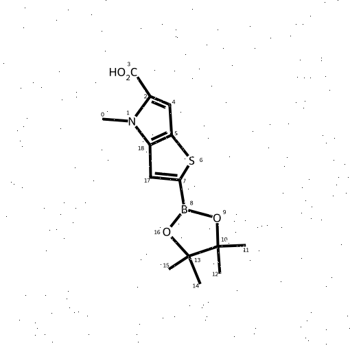 Cn1c(C(=O)O)cc2sc(B3OC(C)(C)C(C)(C)O3)cc21